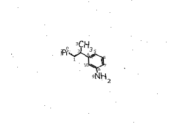 CC(C)CC(C)c1cccc(N)c1